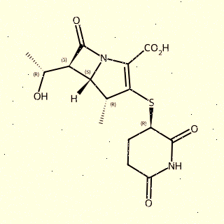 C[C@@H](O)[C@H]1C(=O)N2C(C(=O)O)=C(S[C@@H]3CCC(=O)NC3=O)[C@H](C)[C@H]12